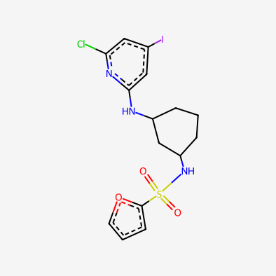 O=S(=O)(NC1CCCC(Nc2cc(I)cc(Cl)n2)C1)c1ccco1